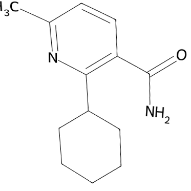 Cc1ccc(C(N)=O)c(C2CCCCC2)n1